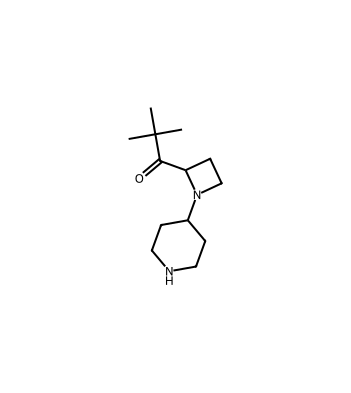 CC(C)(C)C(=O)C1CCN1C1CCNCC1